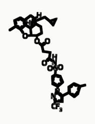 Cc1ccc(-c2cc(C(F)(F)F)nn2-c2ccc(S(=O)(=O)NC(=O)CCC(=O)O[C@@H]3CC[C@@]4(O)[C@H]5Cc6ccc(C)c7c6[C@@]4(CCN5CC4CC4)C3O7)cc2)cc1